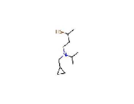 CC(S)CCN(CC1CC1)C(C)C